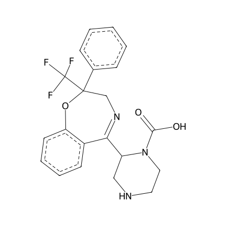 O=C(O)N1CCNCC1C1=NCC(c2ccccc2)(C(F)(F)F)Oc2ccccc21